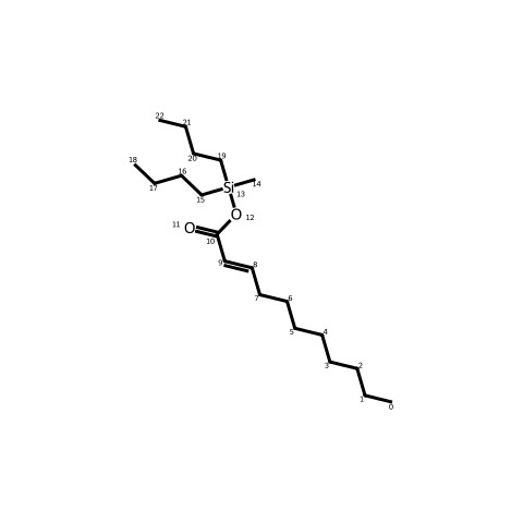 CCCCCCCCC=CC(=O)O[Si](C)(CCCC)CCCC